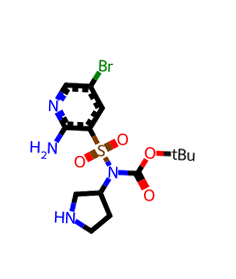 CC(C)(C)OC(=O)N(C1CCNC1)S(=O)(=O)c1cc(Br)cnc1N